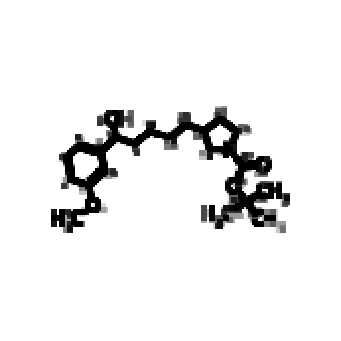 COc1cccc(C(O)CCCCC2CCN(C(=O)OC(C)(C)C)C2)c1